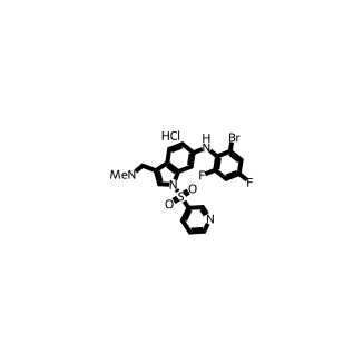 CNCc1cn(S(=O)(=O)c2cccnc2)c2cc(Nc3c(F)cc(F)cc3Br)ccc12.Cl